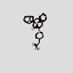 O=C(O)CC1CCN(c2nc3ccccc3n(C3CC4CCC(C3)N4C3CCCCCCC3)c2=O)CC1